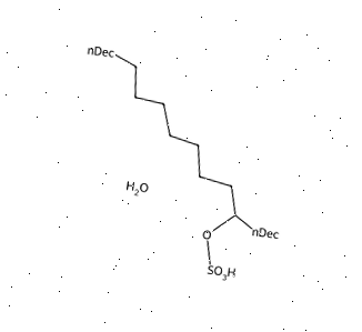 CCCCCCCCCCCCCCCCCC(CCCCCCCCCC)OS(=O)(=O)O.O